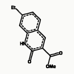 CCc1ccc2cc(C(=O)OC)c(=O)[nH]c2c1